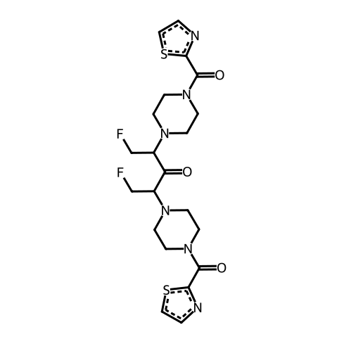 O=C(C(CF)N1CCN(C(=O)c2nccs2)CC1)C(CF)N1CCN(C(=O)c2nccs2)CC1